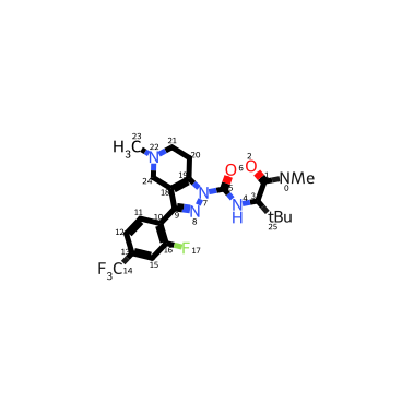 CNC(=O)C(NC(=O)n1nc(-c2ccc(C(F)(F)F)cc2F)c2c1CCN(C)C2)C(C)(C)C